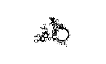 COc1c(Cl)ccc2c(O[C@@H]3C[C@H]4C(=O)N[C@]5(C(=O)NS(=O)(=O)C6(C)CC6)C[C@H]5/C=C\CCCCC[C@H](N)C(=O)N4C3)cc(OC(C)C)nc12